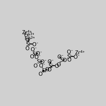 O=[Si]([O-])[O-].O=[Si]([O-])[O-].O=[Si]([O-])[O-].O=[Si]([O-])[O-].O=[Si]([O-])[O-].O=[Si]([O-])[O-].O=[Si]([O-])[O-].[Fe+3].[Fe+3].[Zr+4].[Zr+4]